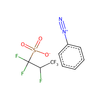 N#[N+]c1ccccc1.O=S(=O)([O-])C(F)(F)C(F)C(F)(F)F